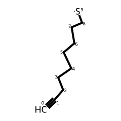 C#CCCCCCCC[S]